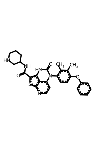 Cc1c(Oc2ccccc2)ccc(N2C(=O)Nc3c(C(=O)NC4CCCNC4)sc4nccc2c34)c1C